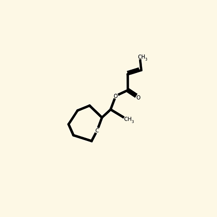 CC=CC(=O)OC(C)C1CCCCCC1